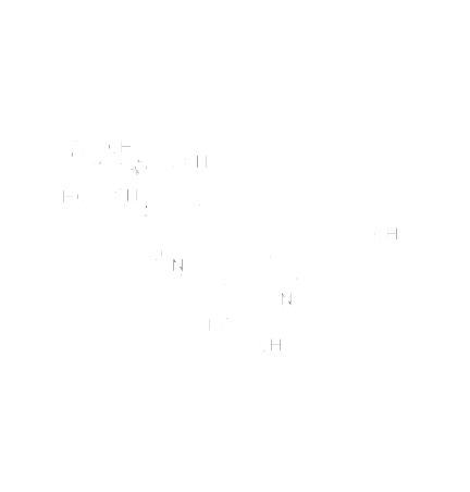 Cc1ccc(-c2nc(C(C)C)c(CCc3noc4cc(OC(C)(C)C(=O)O)c(C)cc34)s2)cc1